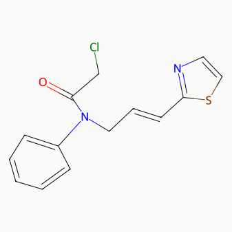 O=C(CCl)N(CC=Cc1nccs1)c1ccccc1